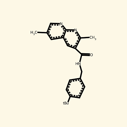 Cc1cnc2nc(C)c(C(=O)NCc3ccc(C(C)(C)C)cc3)cc2c1